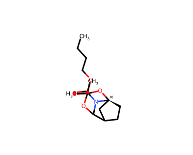 CCCCOC(=O)N1C2OC(C)(C)O[C@@]13CCC2C3